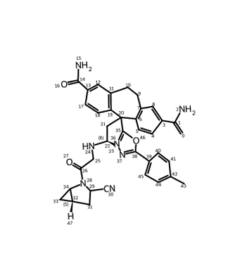 C=C(N)c1ccc2c(c1)CCc1cc(C(N)=O)ccc1C2(C[C@@H](C)NCC(=O)N1C(C#N)C[C@@H]2CC21)c1nnc(-c2ccc(C)cc2)o1